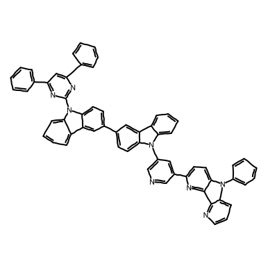 c1ccc(-c2cc(-c3ccccc3)nc(-n3c4ccccc4c4cc(-c5ccc6c(c5)c5ccccc5n6-c5cncc(-c6ccc7c(n6)c6ncccc6n7-c6ccccc6)c5)ccc43)n2)cc1